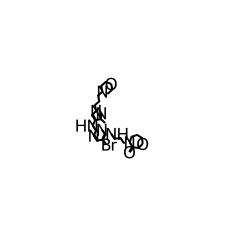 Cc1nn(CCCN2CCOCC2)cc1Nc1ncc(Br)c(NCCCN2CCCOCC2=O)n1